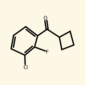 O=C(c1cccc(Cl)c1F)C1CCC1